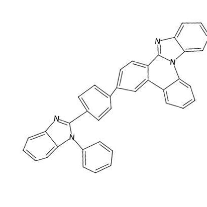 c1ccc(-n2c(-c3ccc(-c4ccc5c(c4)c4ccccc4n4c6ccccc6nc54)cc3)nc3ccccc32)cc1